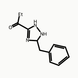 CCC(=O)C1=NC(Cc2ccccc2)NN1